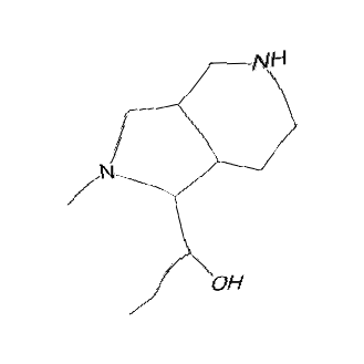 CC(O)C1C2CCNCC2CN1C